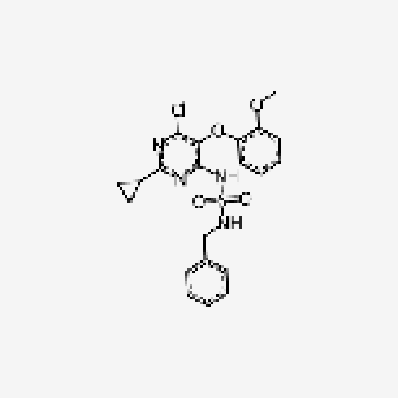 COc1ccccc1Oc1c(Cl)nc(C2CC2)nc1NS(=O)(=O)NCc1ccccc1